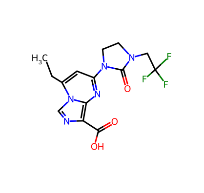 CCc1cc(N2CCN(CC(F)(F)F)C2=O)nc2c(C(=O)O)ncn12